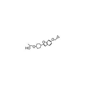 CC(O)COC1CCC(c2cc3ccc(OCC4CC4)cc3o2)CC1